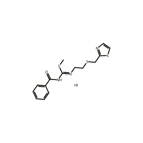 CS/C(=N\CCSCc1nccs1)NC(=O)c1ccccc1.I